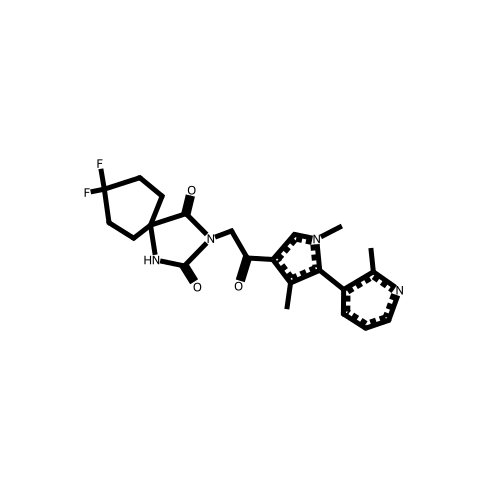 Cc1ncccc1-c1c(C)c(C(=O)CN2C(=O)NC3(CCC(F)(F)CC3)C2=O)cn1C